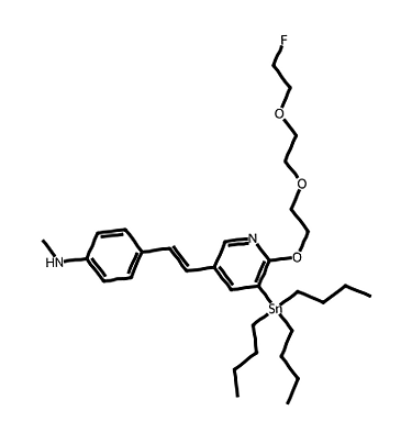 CCC[CH2][Sn]([CH2]CCC)([CH2]CCC)[c]1cc(C=Cc2ccc(NC)cc2)cnc1OCCOCCOCCF